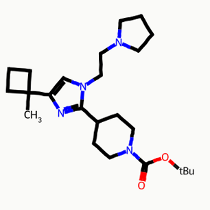 CC(C)(C)OC(=O)N1CCC(c2nc(C3(C)CCC3)cn2CCN2CCCC2)CC1